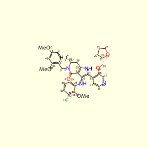 COc1ccc(CN2C(=O)c3c([nH]c(-c4ccncc4OC[C@@H]4CCCO4)c3Nc3cccc(F)c3OC)CC2C)c(OC)c1